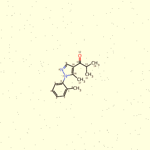 Cc1ccccc1-n1ncc(C(=O)C(C)C)c1C